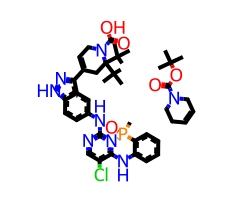 CC(C)(C)C1(C(C)(C)C)CC(c2n[nH]c3ccc(Nc4ncc(Cl)c(Nc5ccccc5P(C)(C)=O)n4)cc23)=CCN1C(=O)O.CC(C)(C)OC(=O)N1CC=CCC1